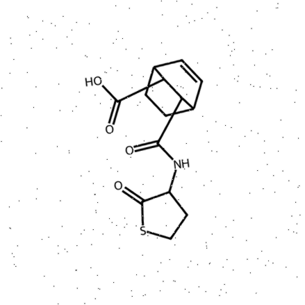 O=C1SCCC1NC(=O)C1C2C=CC(CC2)C1C(=O)O